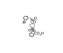 O=C(O)c1ccccc1S(=O)(=O)N1CCC2(CC1)CN(Cc1cccc(Br)c1)C(=O)O2